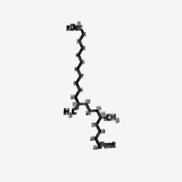 CCCCCCCCCCCCCCCCCCCCC(C)CCCC(C)CCCC(C)CCC